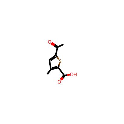 CC(=O)c1cc(C)c(C(=O)O)s1